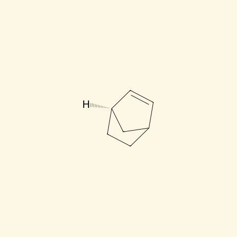 C1=C[C@@H]2CCC1C2